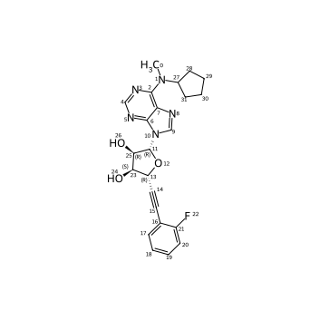 CN(c1ncnc2c1ncn2[C@@H]1O[C@H](C#Cc2ccccc2F)[C@@H](O)[C@H]1O)C1CCCC1